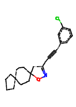 Clc1cccc(C#CC2=NOC3(CCC4(CCCC4)CC3)C2)c1